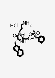 CS(=O)(=O)N(CCCC(=O)N[C@H](Cc1ccc2ccccc2c1)C(=O)NCCCN)c1ccccc1.Cl